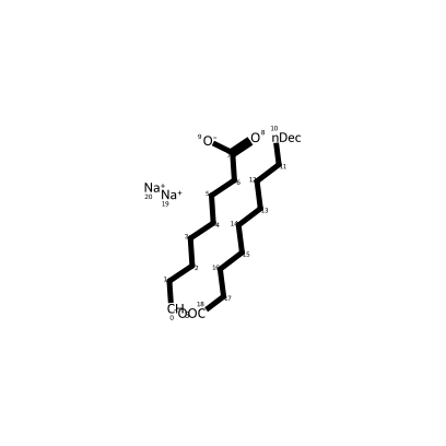 CCCCCCCC(=O)[O-].CCCCCCCCCCCCCCCCCC(=O)[O-].[Na+].[Na+]